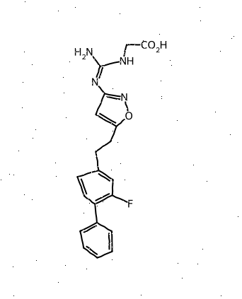 NC(=Nc1cc(CCc2ccc(-c3ccccc3)c(F)c2)on1)NCC(=O)O